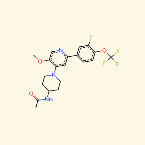 COc1cnc(-c2ccc(OC(F)(F)F)c(F)c2)cc1N1CCC(NC(C)=O)CC1